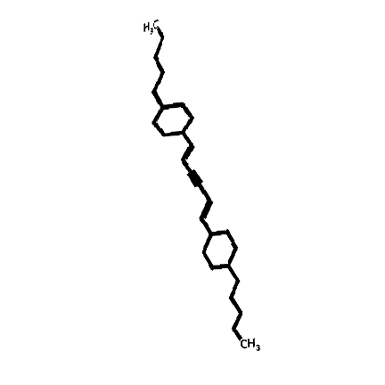 CCCCCC1CCC(C=CC#CC=CC2CCC(CCCCC)CC2)CC1